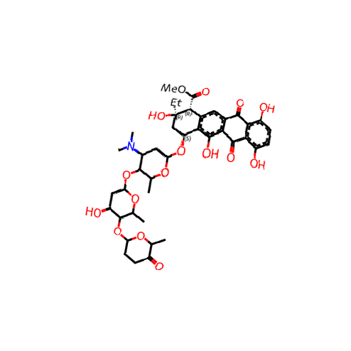 CC[C@@]1(O)C[C@H](OC2CC(N(C)C)C(OC3CC(O)C(OC4CCC(=O)C(C)O4)C(C)O3)C(C)O2)c2c(cc3c(c2O)C(=O)c2c(O)ccc(O)c2C3=O)[C@H]1C(=O)OC